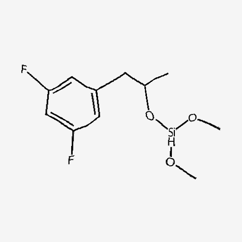 CO[SiH](OC)OC(C)Cc1cc(F)cc(F)c1